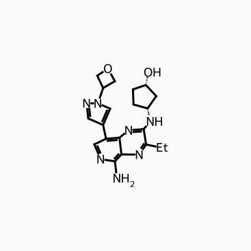 CCc1nc2c(N)ncc(-c3cnn(C4COC4)c3)c2nc1N[C@@H]1CC[C@H](O)C1